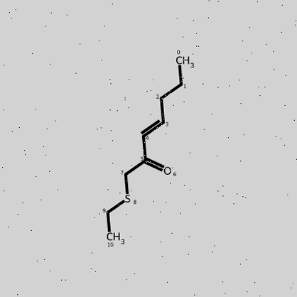 CCCC=CC(=O)CSCC